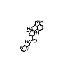 CN1C[C@H](C(=O)NCc2cnccn2)C[C@@H]2c3cccc4[nH]cc(c34)C[C@H]21